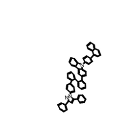 c1ccc(-c2cc(-c3ccccc3)n(-c3ccc(-c4ccccc4-c4ccccc4-c4ccc5c(c4)c4ccccc4n5-c4ccc(-c5cccc6ccccc56)cc4)cc3)n2)cc1